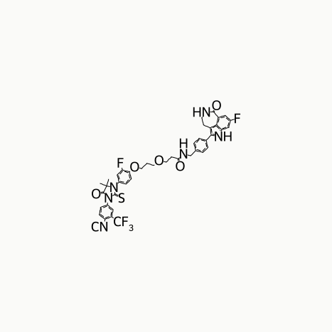 CC1(C)C(=O)N(c2ccc(C#N)c(C(F)(F)F)c2)C(=S)N1c1ccc(OCCCOCCC(=O)NCc2ccc(-c3[nH]c4cc(F)cc5c4c3CCNC5=O)cc2)c(F)c1